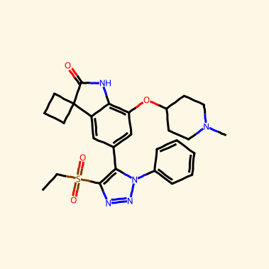 CCS(=O)(=O)c1nnn(-c2ccccc2)c1-c1cc(OC2CCN(C)CC2)c2c(c1)C1(CCC1)C(=O)N2